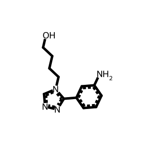 Nc1cccc(-c2nncn2CCCCO)c1